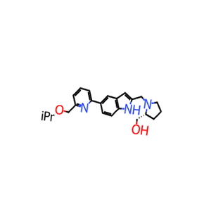 CC(C)OCc1cccc(-c2ccc3[nH]c(CN4CCC[C@@H]4CO)cc3c2)n1